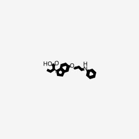 CCC(C(=O)O)[C@@H]1CCc2cc(OCCCNc3ccccc3)ccc21